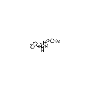 CP(C)(=O)c1ccc(Oc2cnc3c(n2)N(Cc2ccc4ncccc4c2)NN3)cc1